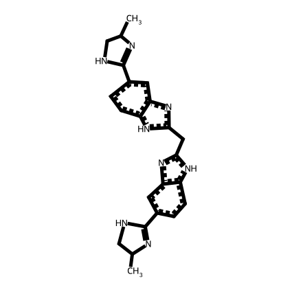 CC1CNC(c2ccc3[nH]c(Cc4nc5cc(C6=NC(C)CN6)ccc5[nH]4)nc3c2)=N1